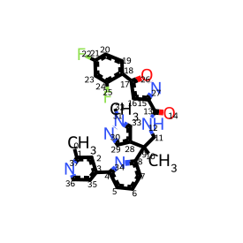 Cc1cc(-c2cccc(C(C)(CNC(=O)c3cc(-c4ccc(F)cc4F)on3)c3cnn(C)c3)n2)ccn1